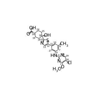 COc1nc(Nc2cc(C)cc(-c3cnc([C@]4(O)CC[C@@H](C(=O)O)CC4)s3)c2)ncc1Cl